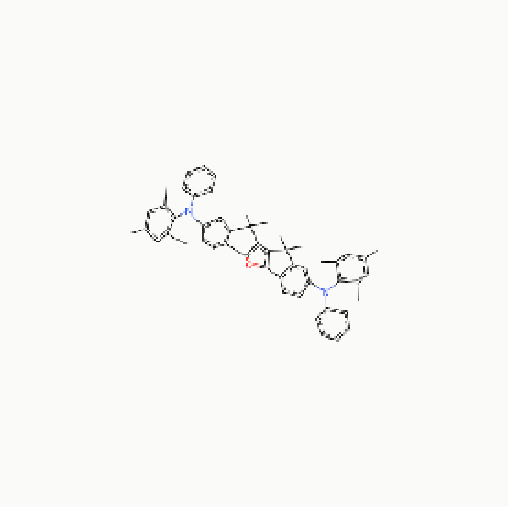 Cc1cc(C)c(N(c2ccccc2)c2ccc3c(c2)C(C)(C)c2c-3oc3c2C(C)(C)c2cc(N(c4ccccc4)c4c(C)cc(C)cc4C)ccc2-3)c(C)c1